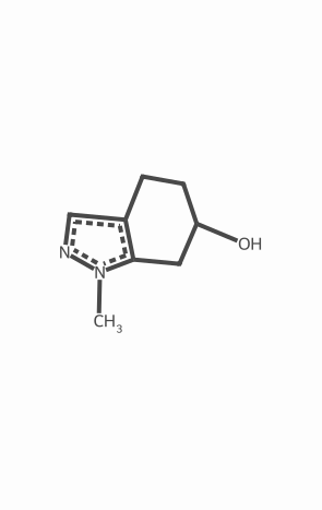 Cn1ncc2c1CC(O)CC2